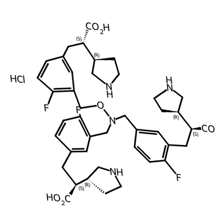 Cl.O=C(O)[C@@H](Cc1ccc(F)c(CON(Cc2ccc(F)c(C[C@H](C(=O)O)[C@H]3CCNC3)c2)Cc2cc(C[C@H](C(=O)O)[C@H]3CCNC3)ccc2F)c1)[C@H]1CCNC1